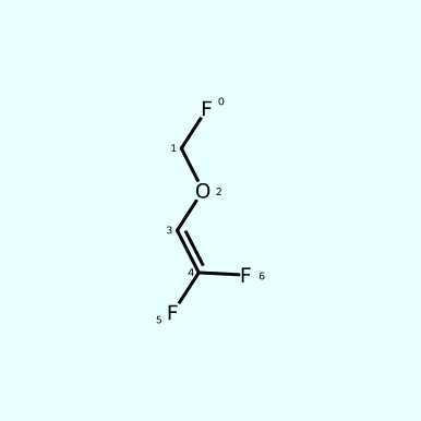 FCOC=C(F)F